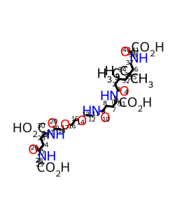 CC(CC(=O)N[C@@H](CCC(=O)NCCOCCOCC(=O)N[C@@H](CCC(=O)NCC(=O)O)C(=O)O)C(=O)O)CC(C)(C)CCNC(=O)C(=O)O